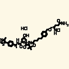 Cc1ncsc1-c1ccc([C@H](C)NC(=O)[C@@H]2C[C@@H](O)CN2C(=O)[C@@H](NC(=O)CCCCc2ccc(COC[C@H](CCC(N)=O)NCl)cc2)C(C)(C)C)cc1.Cl